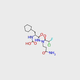 NC(=O)CCN(NC(=O)[C@H](CC1CCCCC1)NC(=O)O)C(=O)[C@@H](F)Cl